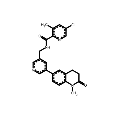 Cc1cc(Cl)cnc1C(=O)NCc1cncc(-c2ccc3c(c2)CCC(=O)N3C)c1